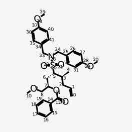 C=CC[C@H](C)[C@H](C[C@H](COC)OC(=O)c1ccccc1)S(=O)(=O)N(Cc1ccc(OC)cc1)Cc1ccc(OC)cc1